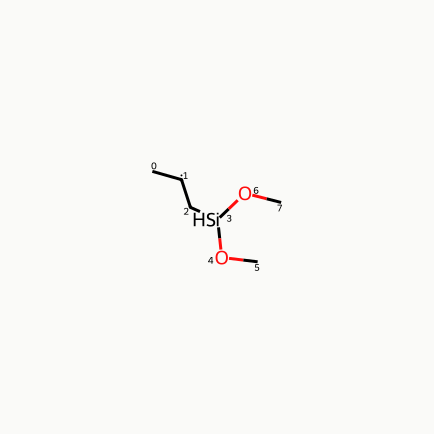 C[CH]C[SiH](OC)OC